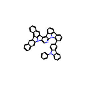 c1ccc(-n2c3ccccc3c3cc(-c4cccc5c6cccc7c8c9c%10cc%11ccccc%11c%11c%12cc%13ccccc%13cc%12n(c9cnc8n(c45)c67)c%10%11)ccc32)cc1